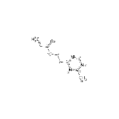 C=CC(=O)OCCc1ncnc(C)n1